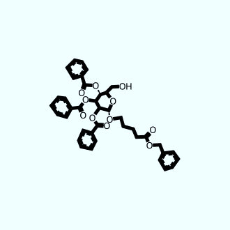 O=C(CCCCO[C@H]1OC(CO)[C@@H](OC(=O)c2ccccc2)C(OC(=O)c2ccccc2)C1OC(=O)c1ccccc1)OCc1ccccc1